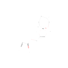 C=CC(=O)OCC1COC2(CCCCCO2)O1